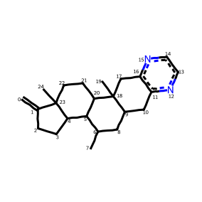 C=C1CCC2C3C(C)CC4Cc5nccnc5CC4(C)C3CCC12C